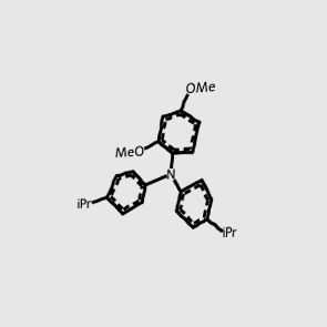 COc1ccc(N(c2ccc(C(C)C)cc2)c2ccc(C(C)C)cc2)c(OC)c1